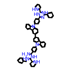 NC(NC(NCc1ccccc1)C1C=CC=CN1)c1ccc(-n2c3ccccc3c3cc(-c4ccc5c(c4)c4ccccc4n5-c4ccc(C5N=C(c6ccccc6)NC(C6C=CC=CN6)N5)cc4)ccc32)cc1